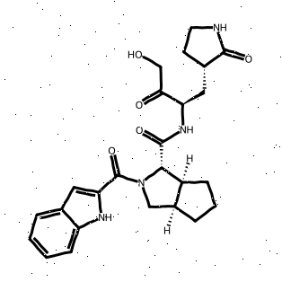 O=C1NCC[C@H]1C[C@@H](NC(=O)[C@@H]1[C@H]2CCC[C@H]2CN1C(=O)c1cc2ccccc2[nH]1)C(=O)CO